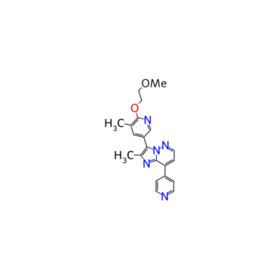 COCCOc1ncc(-c2c(C)nc3c(-c4ccncc4)ccnn23)cc1C